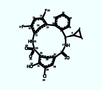 O=C1N[C@H](C2CC2)c2ccccc2-c2cc(c(F)cc2F)NS(=O)(=O)c2cc1cc(Cl)c2O